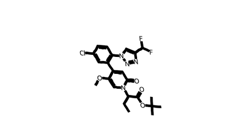 CCC(C(=O)OC(C)(C)C)n1cc(OC)c(-c2cc(Cl)ccc2-n2cc(C(F)F)nn2)cc1=O